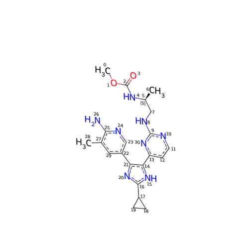 COC(=O)N[C@@H](C)CNc1nccc(-c2[nH]c(C3CC3)nc2-c2cnc(N)c(C)c2)n1